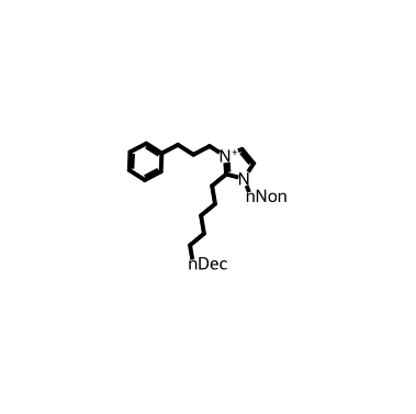 CCCCCCCCCCCCCCCc1n(CCCCCCCCC)cc[n+]1CCCc1ccccc1